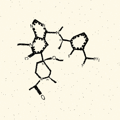 CO[C@]1(c2cc3c(N(C)[C@H](C)c4cccc(C(F)P)c4F)ncnc3n(C)c2=O)CCN(C(C)=O)[C@H](C)C1